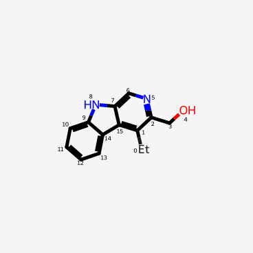 CCc1c(CO)ncc2[nH]c3ccccc3c12